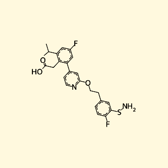 CC(C)c1cc(F)cc(-c2ccnc(OCCc3ccc(F)c(SN)c3)c2)c1CC(=O)O